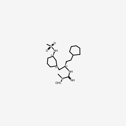 CN(C=O)C(=N)N[C@H](CCC1CCCCC1)C[C@H]1CCC[C@@H](NS(C)(=O)=O)C1